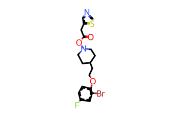 O=C(Cc1cncs1)ON1CCC(CCOc2ccc(F)cc2Br)CC1